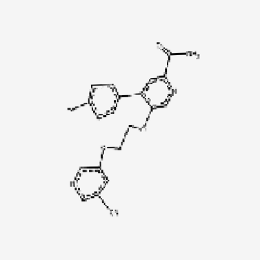 N#Cc1cncc(OCCOc2cnc(C(N)=O)cc2-c2ccc(F)cc2)c1